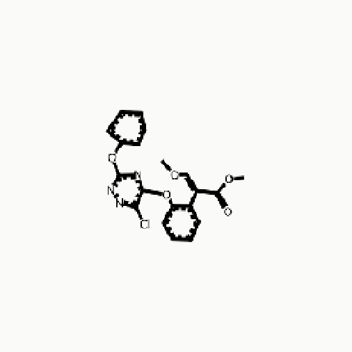 CO/C=C(/C(=O)OC)c1ccccc1Oc1nc(Oc2ccccc2)nnc1Cl